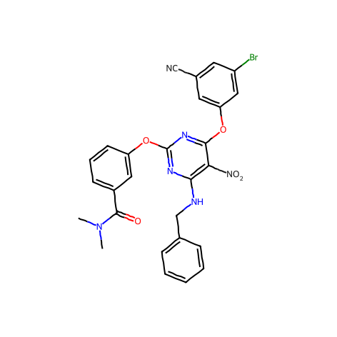 CN(C)C(=O)c1cccc(Oc2nc(NCc3ccccc3)c([N+](=O)[O-])c(Oc3cc(Br)cc(C#N)c3)n2)c1